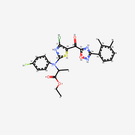 CCOC(=O)C(C)N(c1ccc(F)cc1)c1nc(Cl)c(C(=O)c2nc(-c3cccc(C)c3C)no2)s1